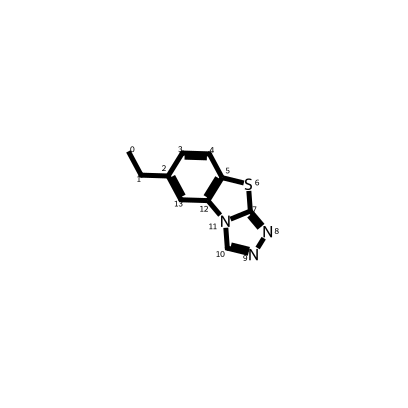 CCc1ccc2sc3nncn3c2c1